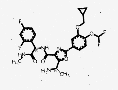 CNC(=O)[C@H](NC(=O)c1nc(-c2ccc(OC(F)F)c(OCC3CC3)c2)oc1[C@H](C)N)c1ccc(F)cc1F